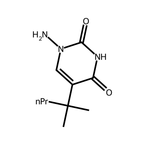 CCCC(C)(C)c1cn(N)c(=O)[nH]c1=O